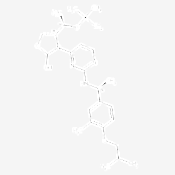 Cc1cc([C@H](C)Nc2nccc(N3C(O)OC[C@@H]3[C@@H](C)OC(C)(C)C)n2)ccc1OCC(C)C